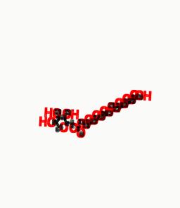 O=C(OCC1OCC(O)C(O)C1O)OOOOOOOOOOOOOOOO